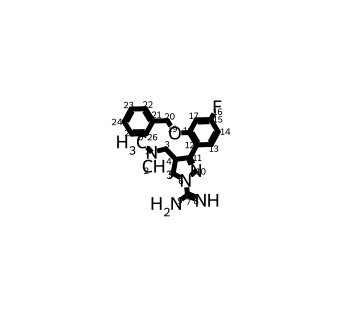 CN(C)CC1CN(C(=N)N)N=C1c1ccc(F)cc1OCc1ccccc1